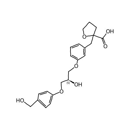 O=C(O)C1(Cc2cccc(OC[C@@H](O)COc3ccc(CO)cc3)c2)CCCO1